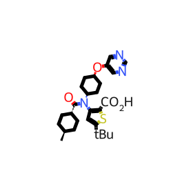 CC(C)(C)c1cc(N(C(=O)[C@H]2CC[C@H](C)CC2)[C@H]2CC[C@H](Oc3cncnc3)CC2)c(C(=O)O)s1